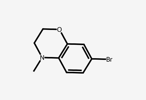 CN1CCOc2cc(Br)ccc21